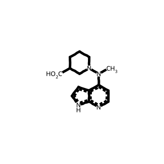 CN(c1ccnc2[nH]ccc12)N1CCCC(C(=O)O)C1